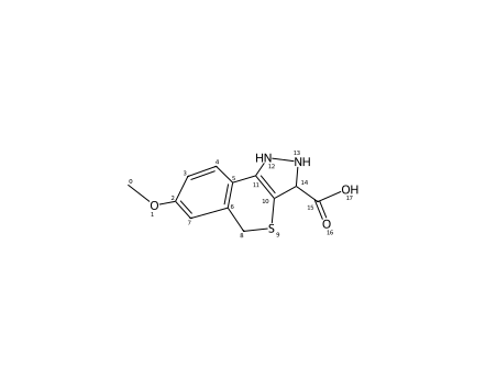 COc1ccc2c(c1)CSC1=C2NNC1C(=O)O